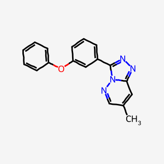 Cc1cnn2c(-c3cccc(Oc4ccccc4)c3)nnc2c1